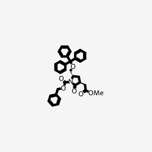 COC(=O)C[C@@H]1C[C@@H](COC(c2ccccc2)(c2ccccc2)c2ccccc2)N(C(=O)OCc2ccccc2)C1=O